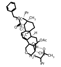 CC(=O)O[C@@H]1C[C@@]23COC[C@@](C)([C@@H]2CC[C@H]2C3=CC[C@@]3(C)[C@H](C(=O)OCc4ccccc4)[C@@](C)([C@H](C)C(C)C)CC[C@]23C)[C@H]1OC(C)C(N)C(C)C